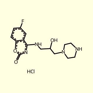 Cl.O=c1nc(NCC(O)CN2CCNCC2)c2cc(F)ccc2o1